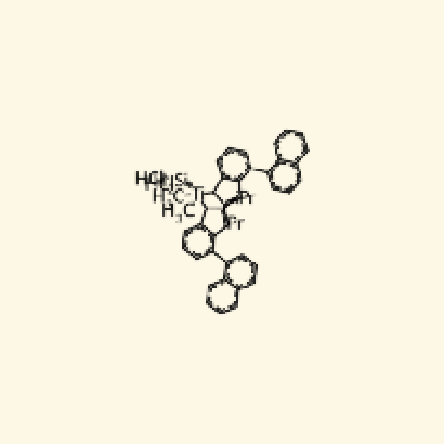 CC(C)C1=Cc2c(-c3cccc4ccccc34)cccc2[CH]1[Ti]([CH3])([CH3])(=[SiH2])[CH]1C(C(C)C)=Cc2c(-c3cccc4ccccc34)cccc21.Cl.Cl